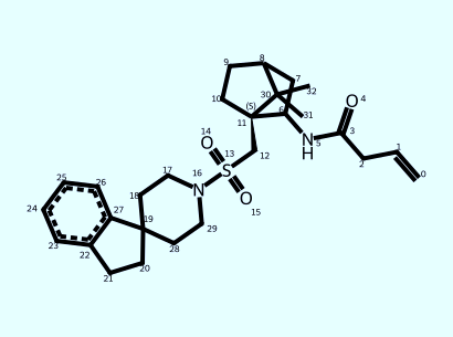 C=CCC(=O)NC1CC2CC[C@]1(CS(=O)(=O)N1CCC3(CCc4ccccc43)CC1)C2(C)C